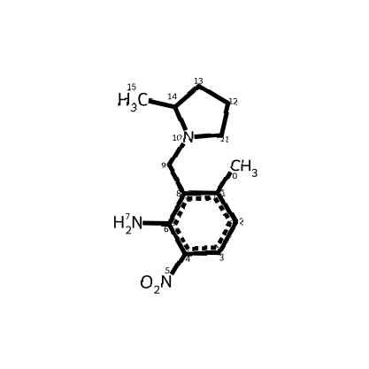 Cc1ccc([N+](=O)[O-])c(N)c1CN1CCCC1C